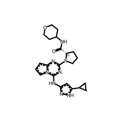 O=C(NC1CCOCC1)[C@@H]1CCCN1c1nc(Nc2cc(C3CC3)[nH]n2)n2cccc2n1